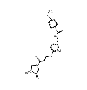 Cl.NCc1ccc(C(=O)NCc2ccc(OCCC(=O)N3CC(=O)[C@@H](O)C3)cc2)cc1